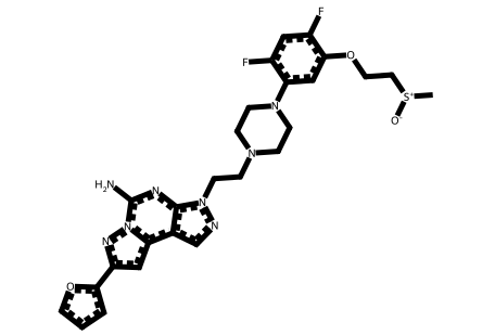 C[S+]([O-])CCOc1cc(N2CCN(CCn3ncc4c3nc(N)n3nc(-c5ccco5)cc43)CC2)c(F)cc1F